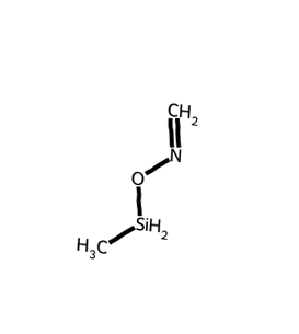 C=NO[SiH2]C